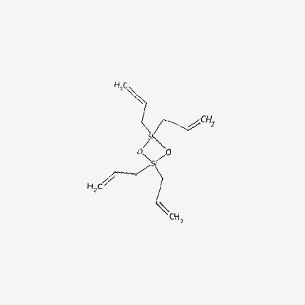 C=CC[Si]1(CC=C)O[Si](CC=C)(CC=C)O1